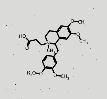 COc1ccc(CC2c3cc(OC)c(OC)cc3CC[N+]2(C)CCC(=O)O)cc1OC